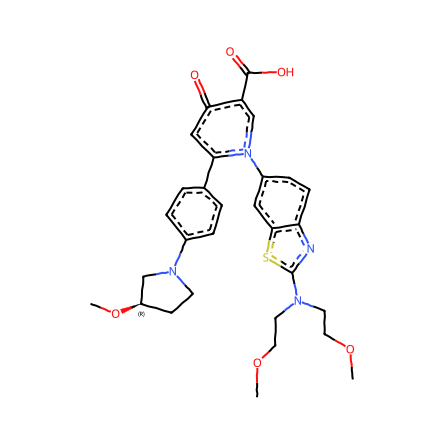 COCCN(CCOC)c1nc2ccc(-n3cc(C(=O)O)c(=O)cc3-c3ccc(N4CC[C@@H](OC)C4)cc3)cc2s1